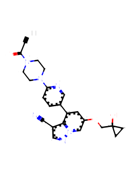 C#CC(=O)N1CCN(c2ccc(-c3cc(OCC4(O)CC4)cn4ncc(C#N)c34)cn2)CC1